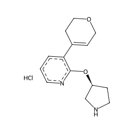 C1=C(c2cccnc2O[C@H]2CCNC2)CCOC1.Cl